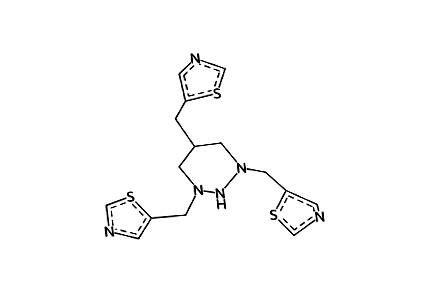 c1ncc(CC2CN(Cc3cncs3)NN(Cc3cncs3)C2)s1